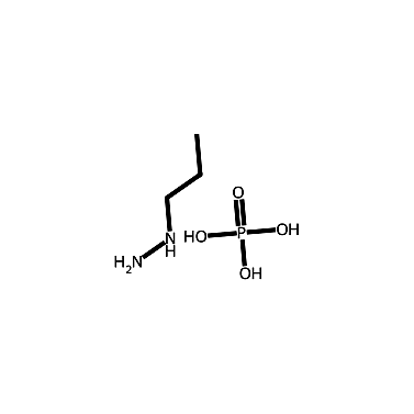 CCCNN.O=P(O)(O)O